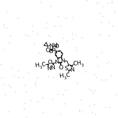 Cc1nnc(-n2c(=O)n(Cc3sc(C)nc3C)c3ccc(S(=O)(=O)NC4(C)CC4)cc32)o1